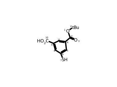 CC(C)(C)OC(=O)c1cc(S)cc(C(=O)O)c1